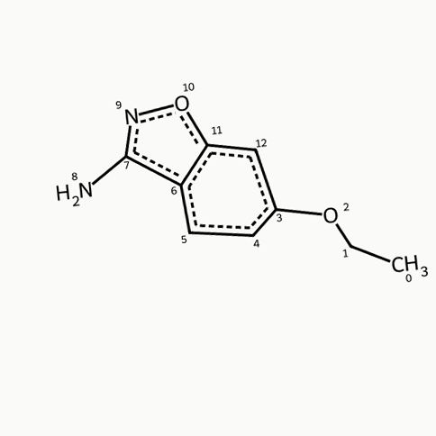 CCOc1ccc2c(N)noc2c1